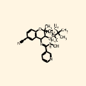 CC1(C)Oc2ccc(C#N)cc2C(N=C(NO)c2cccnc2)C1O[Si](C)(C)C(C)(C)C